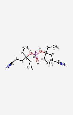 CCC(CC)(CCC#N)O[PH](=O)OC(CC)(CC)CCC#N